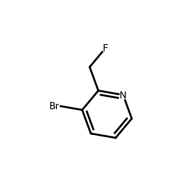 FCc1ncccc1Br